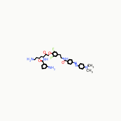 CN(C)c1ccc(/N=N/c2ccc(C(=O)NCCc3cc(F)c(OCC(=O)C(CCCCN)NC(=O)c4cccc(N)c4)c(F)c3)cc2)cc1